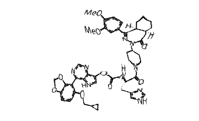 COc1ccc(C2=NN(C3CCN(C(=O)[C@H](Cc4c[nH]cn4)NC(=O)Oc4c[nH]c5c(-c6c(OCC7CC7)ccc7c6OCO7)ncnc45)CC3)C(=O)[C@@H]3CCCC[C@H]23)cc1OC